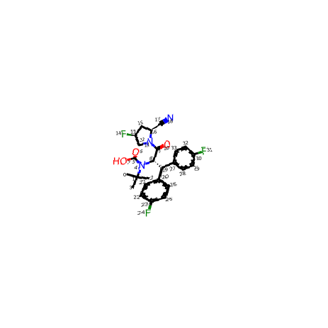 CC(C)(C)N(C(=O)O)[C@H](C(=O)N1C[C@@H](F)C[C@H]1C#N)C(c1ccc(F)cc1)c1ccc(F)cc1